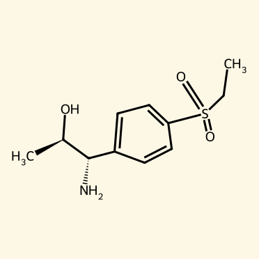 CCS(=O)(=O)c1ccc([C@H](N)[C@@H](C)O)cc1